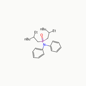 CCCCC(CC)CP(=O)(CC(CC)CCCC)N(c1ccccc1)c1ccccc1